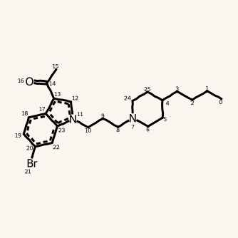 CCCCC1CCN(CCCn2cc(C(C)=O)c3ccc(Br)cc32)CC1